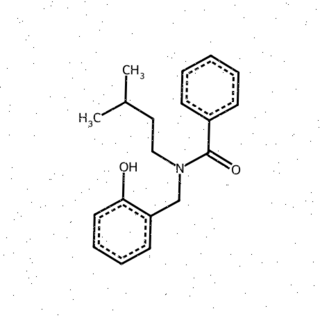 CC(C)CCN(Cc1ccccc1O)C(=O)c1ccccc1